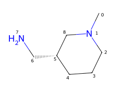 CN1CCC[C@H](CN)C1